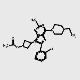 CCN1CCN(c2nc(C)nc3c2nc(-c2ccccc2Cl)n3C2CN(OC(C)=O)C2)CC1